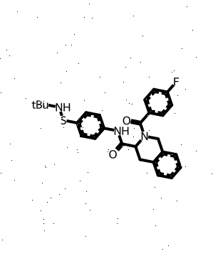 CC(C)(C)NSc1ccc(NC(=O)C2Cc3ccccc3CN2C(=O)c2ccc(F)cc2)cc1